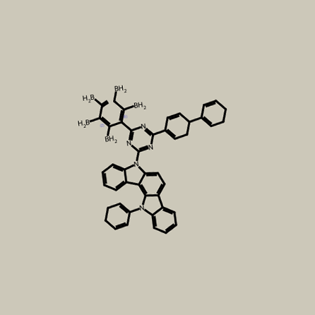 BC/C(B)=C(\C(B)=C(\B)C(B)=C)c1nc(C2=CCC(C3=CCCC=C3)C=C2)nc(-n2c3ccccc3c3c4c(ccc32)c2ccccc2n4C2=CCCC=C2)n1